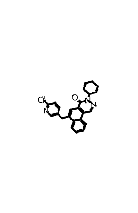 O=c1c2cc(Cc3ccc(Cl)nc3)c3ccccc3c2cnn1C1CCCCC1